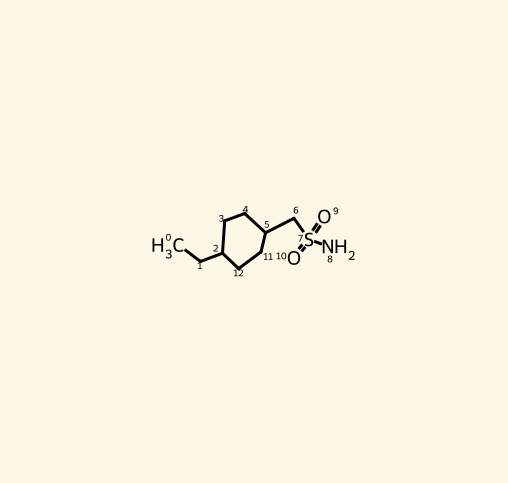 CCC1CCC(CS(N)(=O)=O)CC1